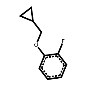 Fc1ccccc1OCC1CC1